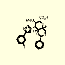 CO[C@@H]1[C@@H](n2cc(-c3cccc(F)c3)nn2)[C@H]2O[C@@H](c3ccccc3)OC[C@H]2O[C@H]1C(=O)O